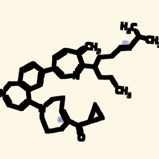 C=C1C=CC(c2ccc3c(c2)C(N2CC/C=C(\C(=O)C4CC4)CCC2)=CC=NC3)=CN=C1C(CCC)CC/C=C/C(C)C